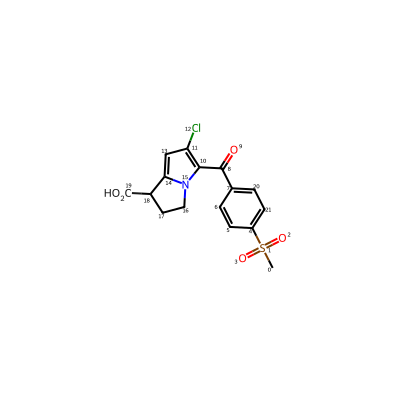 CS(=O)(=O)c1ccc(C(=O)c2c(Cl)cc3n2CCC3C(=O)O)cc1